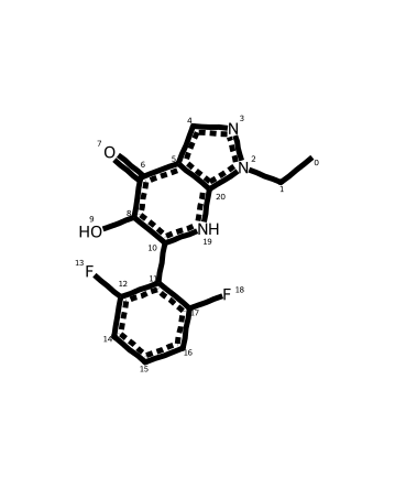 CCn1ncc2c(=O)c(O)c(-c3c(F)cccc3F)[nH]c21